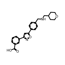 O=C(O)c1cccc(-c2cc(-c3ccc(CNCC4CCOCC4)cc3)on2)c1